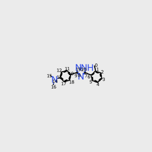 Cc1ccccc1-c1nc(-c2ccc(N(C)C)cc2)n[nH]1